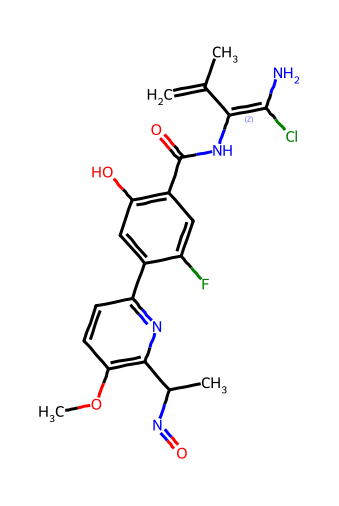 C=C(C)/C(NC(=O)c1cc(F)c(-c2ccc(OC)c(C(C)N=O)n2)cc1O)=C(\N)Cl